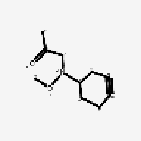 CON(CC(C)=O)C1CC#CCC1